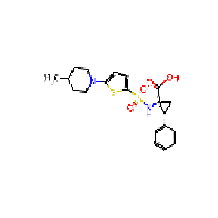 CC1CCN(c2ccc(S(=O)(=O)N[C@@]3(C(=O)O)C[C@@H]3c3ccccc3)s2)CC1